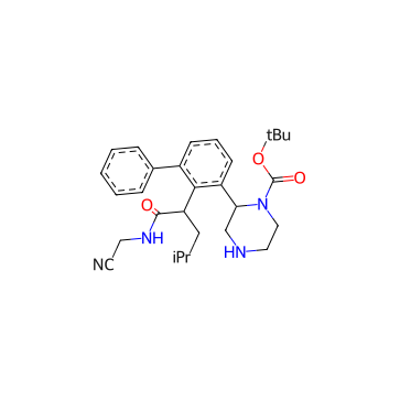 CC(C)CC(C(=O)NCC#N)c1c(-c2ccccc2)cccc1C1CNCCN1C(=O)OC(C)(C)C